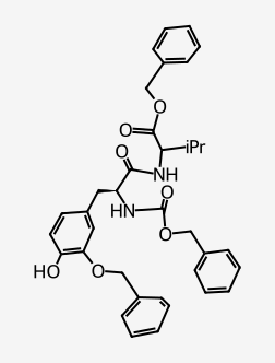 CC(C)C(NC(=O)[C@H](Cc1ccc(O)c(OCc2ccccc2)c1)NC(=O)OCc1ccccc1)C(=O)OCc1ccccc1